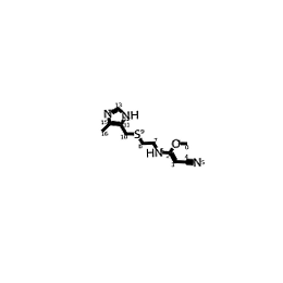 COC(=CC#N)NCCSCc1[nH]cnc1C